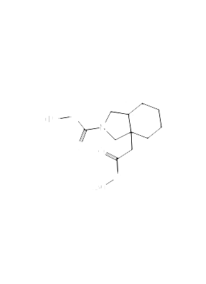 CC(C)(C)OC(=O)CC12CCCC[C@@H]1CN(C(=O)OC(C)(C)C)C2